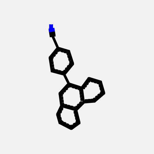 N#Cc1ccc(-c2cc3ccccc3c3ccccc23)cc1